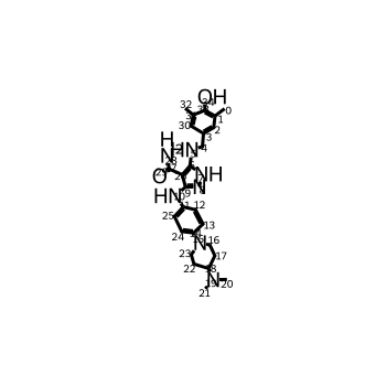 Cc1cc(CNc2[nH]nc(Nc3ccc(N4CCC(N(C)C)CC4)cc3)c2C(N)=O)cc(C)c1O